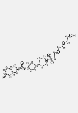 O=C(Nc1ccc(C2CCN(S(=O)(=O)CCOCCOCCO)CC2)cc1)N1Cc2ccc(F)cc2C1